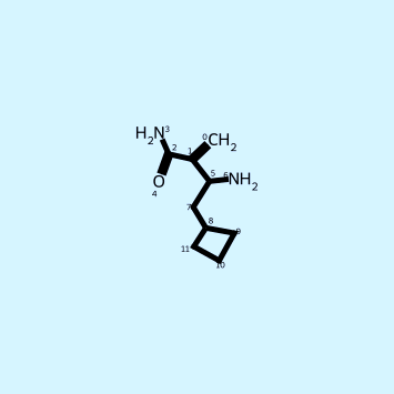 C=C(C(N)=O)C(N)CC1CCC1